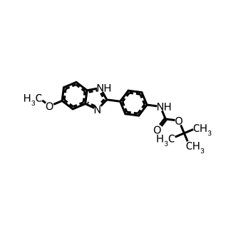 COc1ccc2[nH]c(-c3ccc(NC(=O)OC(C)(C)C)cc3)nc2c1